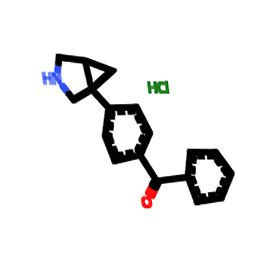 Cl.O=C(c1ccccc1)c1ccc(C23CNCC2C3)cc1